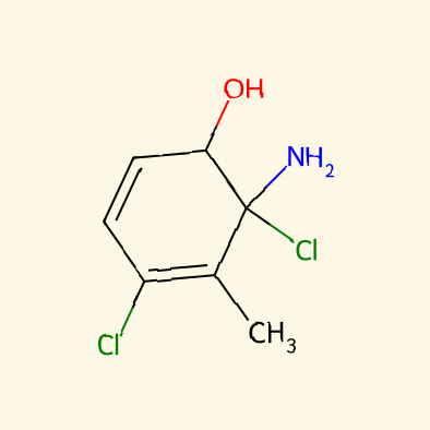 CC1=C(Cl)C=CC(O)C1(N)Cl